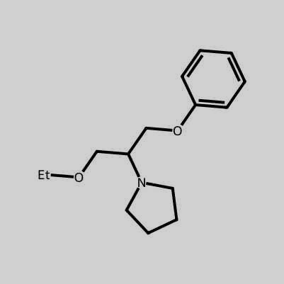 CCOCC(COc1ccccc1)N1CCCC1